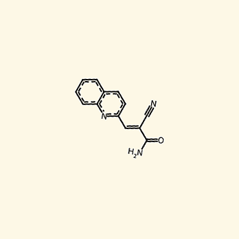 N#C/C(=C\c1ccc2ccccc2n1)C(N)=O